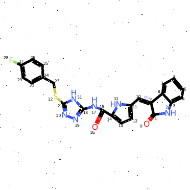 O=C1Nc2ccccc2/C1=C/c1ccc(C(=O)Nc2nnc(SCc3ccc(F)cc3)[nH]2)[nH]1